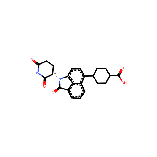 O=C1CC[C@H](N2C(=O)c3cccc4c(C5CCC(C(=O)O)CC5)ccc2c34)C(=O)N1